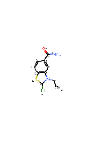 CCN1c2cc(C(N)=O)ccc2SC1Cl